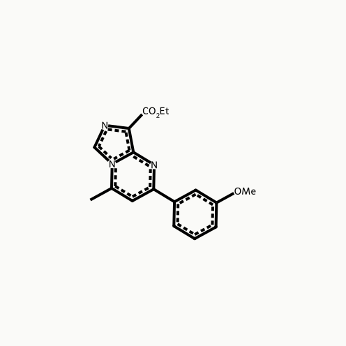 CCOC(=O)c1ncn2c(C)cc(-c3cccc(OC)c3)nc12